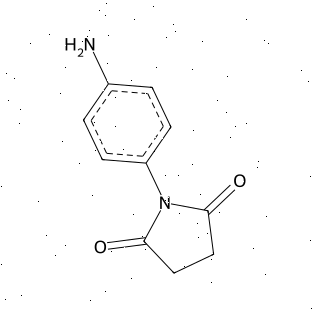 Nc1ccc(N2C(=O)CCC2=O)cc1